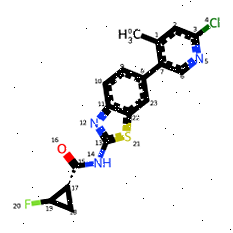 Cc1cc(Cl)ncc1-c1ccc2nc(NC(=O)[C@@H]3CC3F)sc2c1